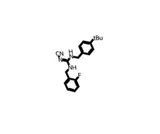 CC(C)(C)c1ccc(CN/C(=N\C#N)NCc2ccccc2F)cc1